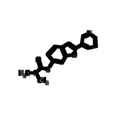 CN(C)C(=O)Sc1ccc2cc(-c3cccnc3)oc2c1